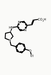 CCOc1ccc(CN2CC[C@@H](Nc3cnc(/C=C/C(=O)O)cn3)C2)cc1